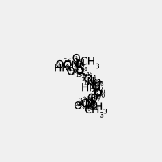 Cn1c(=O)n(C2CCC(=O)NC2=O)c2ccc(C3CCN(C(=O)Nc4cc(CS(=O)(=O)N5CCC(=O)CC5(C)C)ccc4F)CC3)cc21